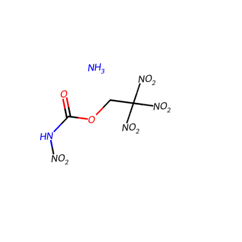 N.O=C(N[N+](=O)[O-])OCC([N+](=O)[O-])([N+](=O)[O-])[N+](=O)[O-]